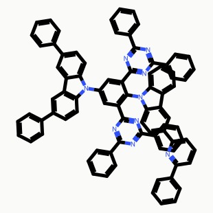 c1ccc(-c2ccc3c(c2)c2cc(-c4ccccc4)ccc2n3-c2cc(-c3nc(-c4ccccc4)nc(-c4ccccc4)n3)c(-n3c4ccccc4c4cc(-c5cccc(-c6ccccc6)n5)ccc43)c(-c3nc(-c4ccccc4)nc(-c4ccccc4)n3)c2)cc1